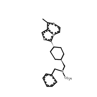 Cc1nccn2c1cnc2[C@H]1CC[C@H](CN(Cc2ccccc2)C(=O)O)CC1